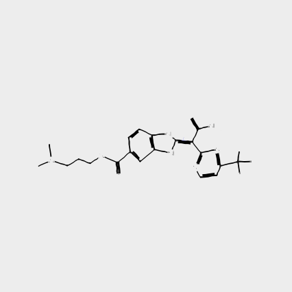 CN(C)CCCNC(=O)c1ccc2c(c1)N/C(=C(/C(N)=O)c1nccc(C(F)(F)F)n1)N2